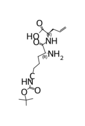 C=CC[C@@H](NC(=O)[C@H](N)CCCCNC(=O)OC(C)(C)C)C(=O)O